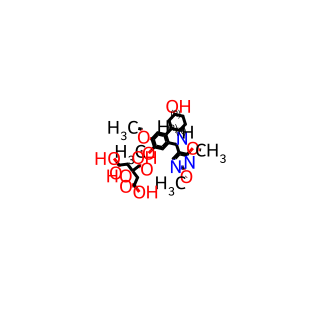 CCOc1cc2c(cc1OC)C(c1cnc(OC)nc1OC)=N[C@@H]1CC[C@@H](O)C[C@H]21.O=C(O)CC(O)(CC(=O)O)C(=O)O